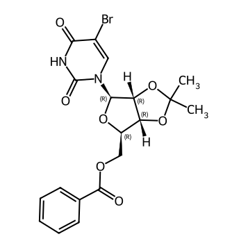 CC1(C)O[C@@H]2[C@H](O1)[C@@H](COC(=O)c1ccccc1)O[C@H]2n1cc(Br)c(=O)[nH]c1=O